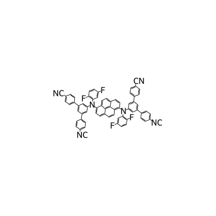 [C-]#[N+]c1ccc(-c2cc(-c3ccc(C#N)cc3)cc(N(c3cc(F)ccc3F)c3ccc4ccc5c(N(c6cc(-c7ccc(C#N)cc7)cc(-c7ccc([N+]#[C-])cc7)c6)c6cc(F)ccc6F)ccc6ccc3c4c65)c2)cc1